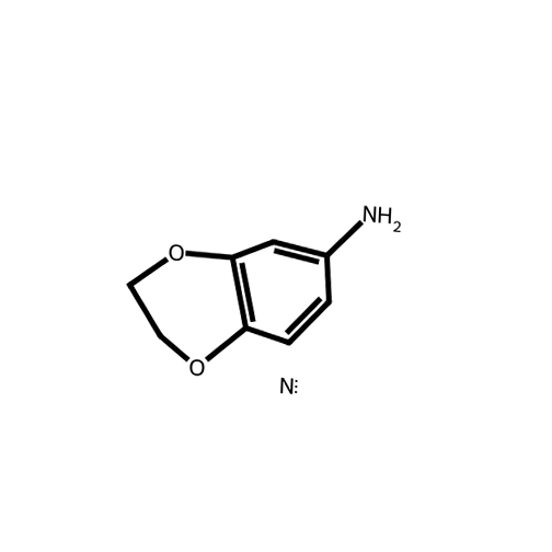 Nc1ccc2c(c1)OCCO2.[N]